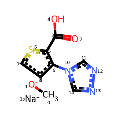 C[O-].O=C(O)c1sccc1-n1cnnc1.[Na+]